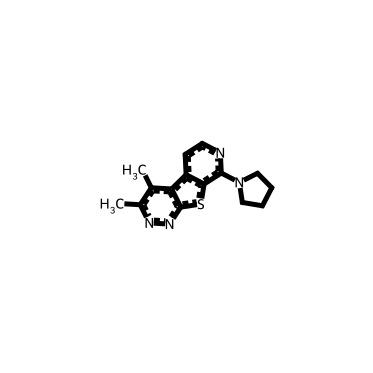 Cc1nnc2sc3c(N4CCCC4)nccc3c2c1C